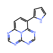 C1=NC2=CC=C(c3ccc[nH]3)C3=NC=NC(=N1)N23